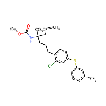 C=CC[C@](CCCc1ccc(Sc2cccc(C(F)(F)F)c2)cc1Cl)(NC(=O)OC(C)(C)C)C(=O)OCC